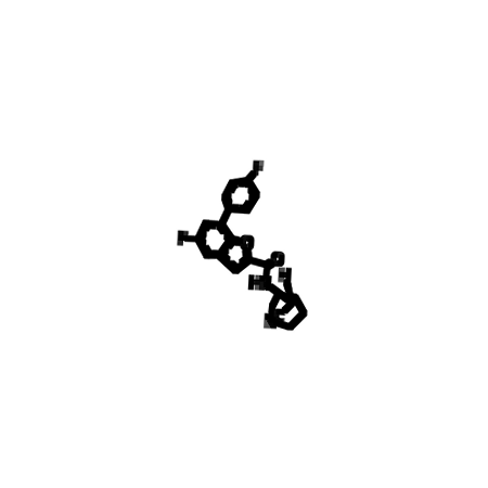 O=C(N[C@H]1CN2CCC1CC2)c1cc2cc(F)cc(-c3ccc(F)cc3)c2o1